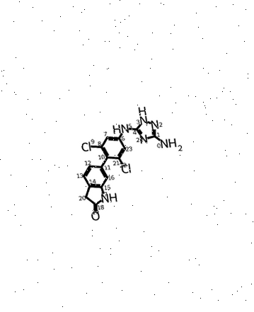 Nc1n[nH]c(Nc2cc(Cl)c(-c3ccc4c(c3)NC(=O)C4)c(Cl)c2)n1